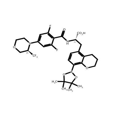 CC1(C)OB(c2ccc(C[C@H](NC(=O)c3c(F)cc(N4CCOC[C@@H]4C(F)(F)F)cc3F)C(=O)O)c3c2OCCC3)OC1(C)C